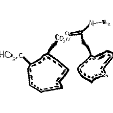 NC(=O)c1ccsc1.O=C(O)c1ccccc1C(=O)O